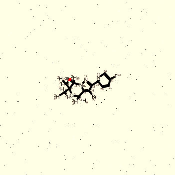 [2H]C1([2H])OC(C([2H])([2H])[2H])(C([2H])([2H])[2H])C([2H])([2H])n2nc(-c3ccc(F)cn3)c(Br)c21